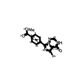 COC(=O)C12CCC(c3nc(I)c4c(=O)[nH]cnn34)(CC1)CC2